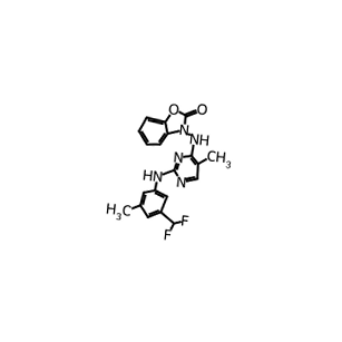 Cc1cc(Nc2ncc(C)c(Nn3c(=O)oc4ccccc43)n2)cc(C(F)F)c1